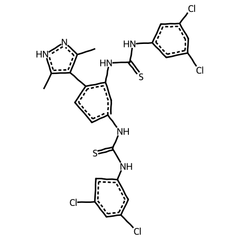 Cc1n[nH]c(C)c1-c1ccc(NC(=S)Nc2cc(Cl)cc(Cl)c2)cc1NC(=S)Nc1cc(Cl)cc(Cl)c1